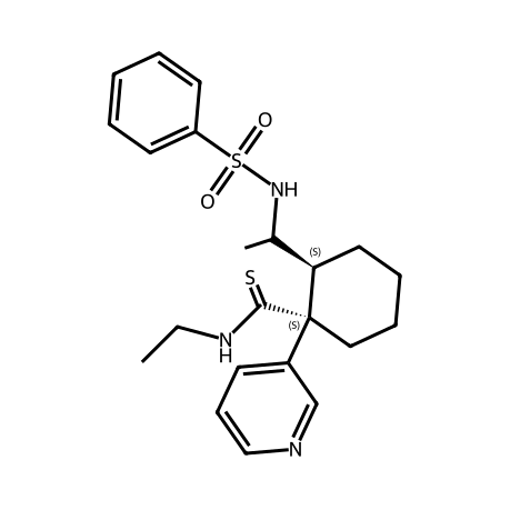 CCNC(=S)[C@@]1(c2cccnc2)CCCC[C@@H]1C(C)NS(=O)(=O)c1ccccc1